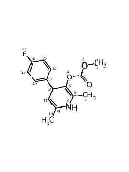 COC(=O)OC1=C(C)NC(C)=CC1c1ccc(F)cc1